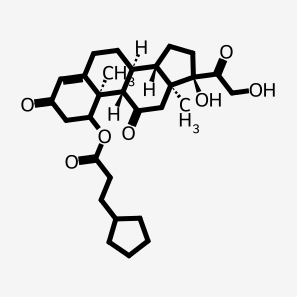 C[C@]12CC(=O)[C@H]3[C@@H](CCC4=CC(=O)CC(OC(=O)CCC5CCCC5)[C@@]43C)[C@@H]1CC[C@]2(O)C(=O)CO